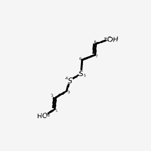 OC=CCSSCC=CO